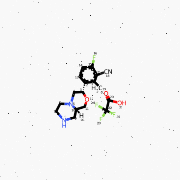 Cc1c([C@H]2CN3CCNC[C@H]3CO2)ccc(F)c1C#N.O=C(O)C(F)(F)F